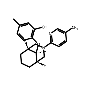 Cc1ccc(O[C@@H]2[C@@H]3CCC[C@H]2CN(c2ccc(C(F)(F)F)cn2)C3)c(O)c1